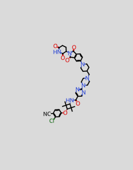 CC1(C)[C@H](NC(=O)c2cnc(N3CCN(CC4CCN(c5ccc6c(c5)C(=O)N(C5CCC(=O)NC5=O)C6=O)CC4)CC3)nc2)C(C)(C)[C@H]1Oc1ccc(C#N)c(Cl)c1